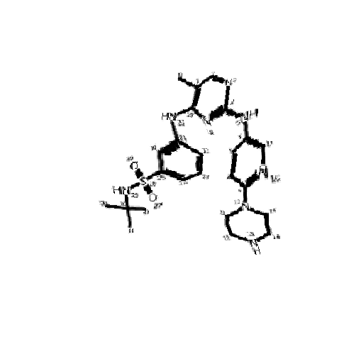 Cc1cnc(Nc2ccc(N3CCNCC3)nc2)nc1Nc1cccc(S(=O)(=O)NC(C)(C)C)c1